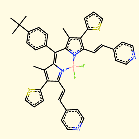 CC1=C(c2cccs2)C(/C=C/c2ccncc2)=[N+]2C1=C(c1ccc(C(C)(C)C)cc1)c1c(C)c(-c3cccs3)c(/C=C/c3ccncc3)n1[B-]2(F)F